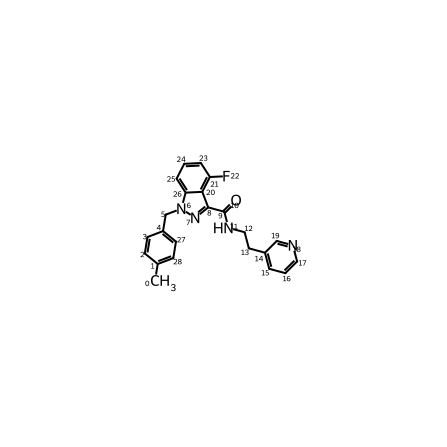 Cc1ccc(Cn2nc(C(=O)NCCc3cccnc3)c3c(F)cccc32)cc1